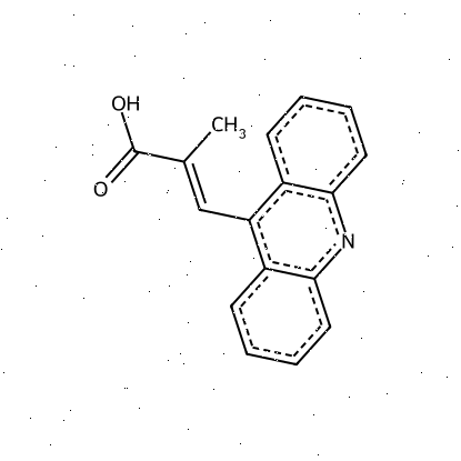 CC(=Cc1c2ccccc2nc2ccccc12)C(=O)O